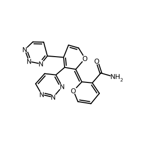 NC(=O)C1=CC=COC1=C1OC=CC(c2ccnnn2)=C1c1ccnnn1